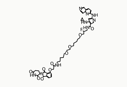 O=C(COc1cccc2c1C(=O)N(C1CCC(=O)NC1=O)C2=O)NCCCCCOCCOCCCCCOCC(F)CNC(=O)c1cnc(Nc2ccc3cnccc3n2)cc1NC1CC1